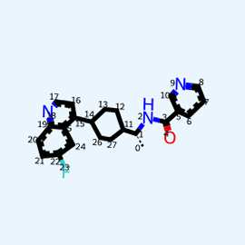 C[C@@H](NC(=O)c1cccnc1)C1CCC(c2ccnc3ccc(F)cc23)CC1